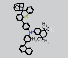 CC1(C)CCC(C)(C)c2cc(N(c3ccc(-c4cccc5c4Sc4ccccc4C54C5CC6CC7CC4C75C6)cc3)c3ccc(-c4cccc5ccccc45)cc3)ccc21